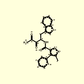 Cc1nsc(C(=O)NC(Cc2csc3ccccc23)C(=O)C(N)=O)c1-c1ccccn1